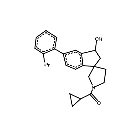 CC(C)c1ccccc1-c1ccc2c(c1)C(O)CC21CCN(C(=O)C2CC2)C1